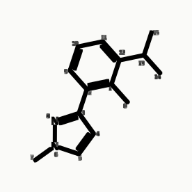 Cc1c(-c2ccn(C)n2)cccc1C(C)C